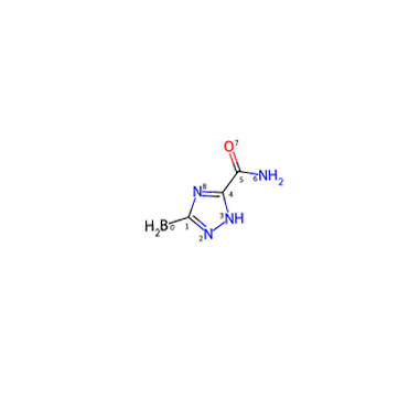 Bc1n[nH]c(C(N)=O)n1